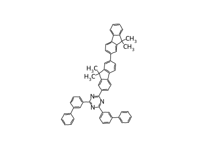 CC1(C)c2ccccc2-c2ccc(-c3ccc4c(c3)C(C)(C)c3cc(-c5nc(-c6cccc(-c7ccccc7)c6)nc(-c6cccc(-c7ccccc7)c6)n5)ccc3-4)cc21